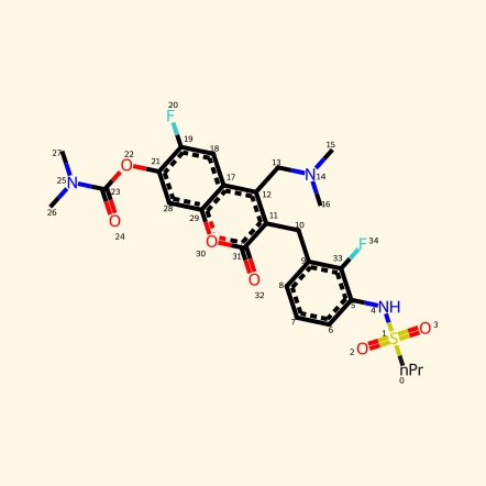 CCCS(=O)(=O)Nc1cccc(Cc2c(CN(C)C)c3cc(F)c(OC(=O)N(C)C)cc3oc2=O)c1F